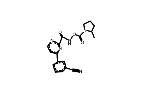 CC1CCCN1C(=O)ONC(=O)c1nccc(-c2cccc(C#N)c2)n1